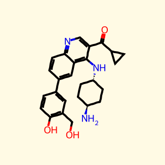 N[C@H]1CC[C@H](Nc2c(C(=O)C3CC3)cnc3ccc(-c4ccc(O)c(CO)c4)cc23)CC1